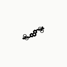 C=CC(=O)OCCc1ccc2c(ccc3cc(CCOC(=O)C(=C)C)ccc32)c1